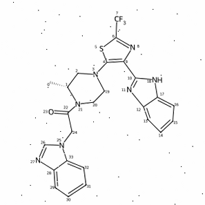 C[C@@H]1CN(c2sc(C(F)(F)F)nc2-c2nc3ccccc3[nH]2)CCN1C(=O)Cn1cnc2ccccc21